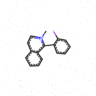 C[n+]1ccc2ccccc2c1-c1ccccc1I